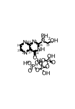 O=P(O)(O)OP(=O)(O)OP(=O)(O)O.O=c1[nH]c(N(P)CO)nc2nccnc12